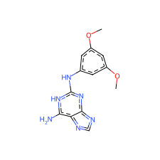 COc1cc(Nc2nc3ncnc-3c(N)[nH]2)cc(OC)c1